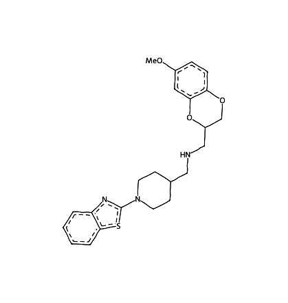 COc1ccc2c(c1)OC(CNCC1CCN(c3nc4ccccc4s3)CC1)CO2